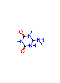 CNC1NC(=O)N(C)C(=O)N1C